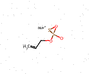 C=CCOS1([O-])OS1.[Na+]